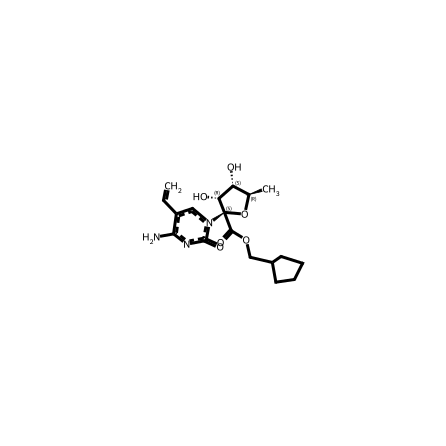 C=Cc1cn([C@]2(C(=O)OCC3CCCC3)O[C@H](C)[C@@H](O)[C@H]2O)c(=O)nc1N